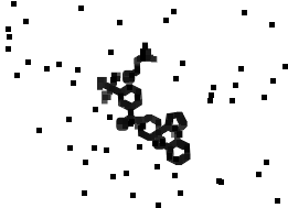 CN(C)CCOc1ccc(C(=O)N2CCC3(CC2)Oc2ccccc2-n2cccc23)cc1C(F)(F)F